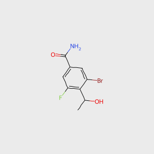 CC(O)c1c(F)cc(C(N)=O)cc1Br